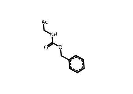 CC(=O)CNC(=O)OCc1ccccc1